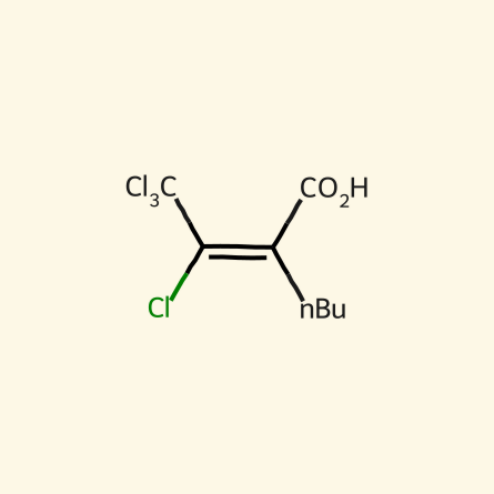 CCCCC(C(=O)O)=C(Cl)C(Cl)(Cl)Cl